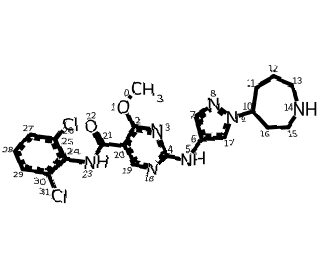 COc1nc(Nc2cnn(C3CCCNCC3)c2)ncc1C(=O)Nc1c(Cl)cccc1Cl